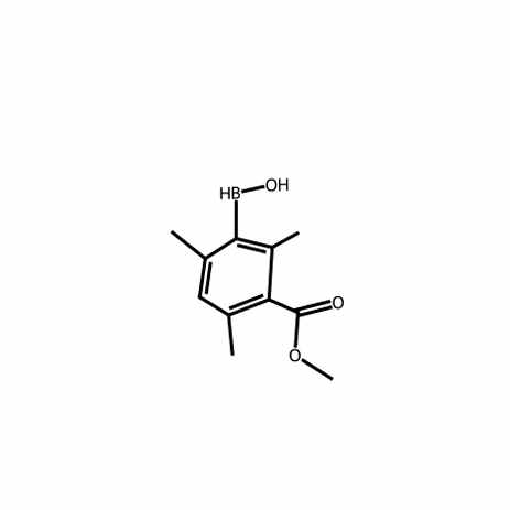 COC(=O)c1c(C)cc(C)c(BO)c1C